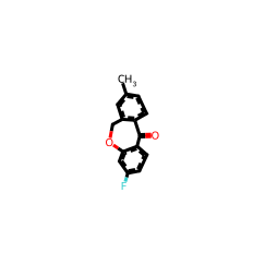 Cc1ccc2c(c1)COc1cc(F)ccc1C2=O